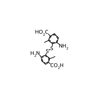 Cc1c(C(=O)O)ccc(N)c1SSc1c(N)ccc(C(=O)O)c1C